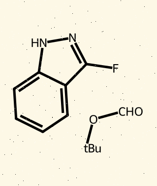 CC(C)(C)OC=O.Fc1n[nH]c2ccccc12